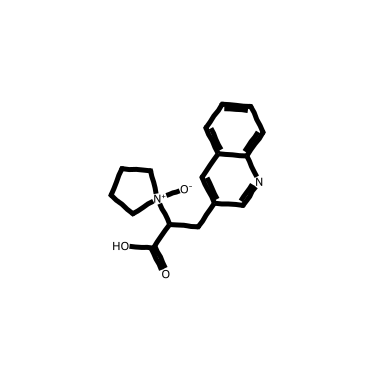 O=C(O)C(Cc1cnc2ccccc2c1)[N+]1([O-])CCCC1